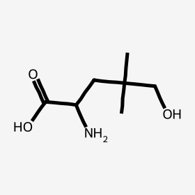 CC(C)(CO)CC(N)C(=O)O